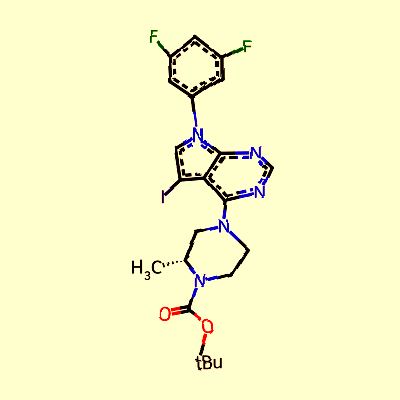 C[C@@H]1CN(c2ncnc3c2c(I)cn3-c2cc(F)cc(F)c2)CCN1C(=O)OC(C)(C)C